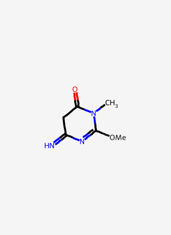 COC1=NC(=N)CC(=O)N1C